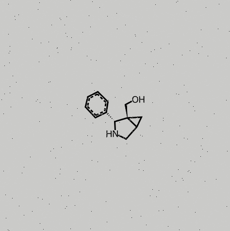 OC[C@@]12CC1CN[C@@H]2c1ccccc1